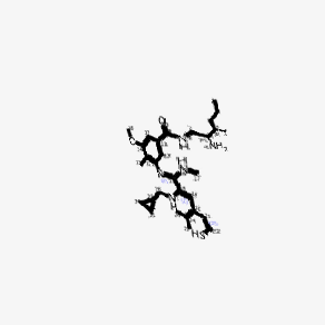 CCC[C@@H](C)[C@@H](N)CNC(=O)c1cc(/N=C(NC)/C(=C/C(/C=C\S)=C(C)C)NCC2CC2)c(C)c(OC)c1